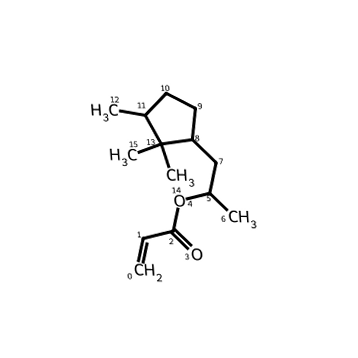 C=CC(=O)OC(C)CC1CCC(C)C1(C)C